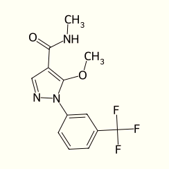 CNC(=O)c1cnn(-c2cccc(C(F)(F)F)c2)c1OC